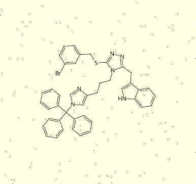 Brc1cccc(CSc2nnc(Cc3c[nH]c4ccccc34)n2CCCc2cn(C(c3ccccc3)(c3ccccc3)c3ccccc3)cn2)c1